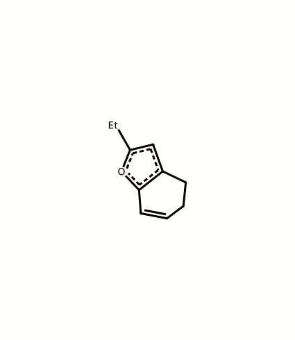 CCc1cc2c(o1)C=CCC2